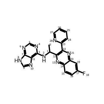 CC(Nc1ncnc2[nH]cnc12)c1nc2ccc(F)cc2nc1-c1ccccn1